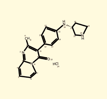 Cc1nc2ccccn2c(=O)c1-c1ccc(N[C@@H]2CCNC2)cc1.Cl